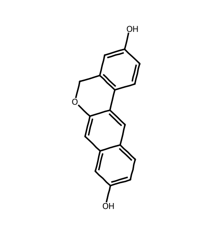 Oc1ccc2c(c1)COc1cc3cc(O)ccc3cc1-2